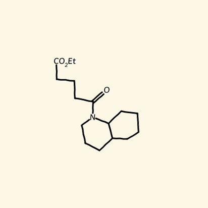 CCOC(=O)CCCC(=O)N1CCCC2CCCCC21